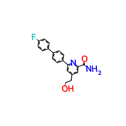 NC(=O)c1cc(CCO)cc(-c2ccc(-c3ccc(F)cc3)cc2)n1